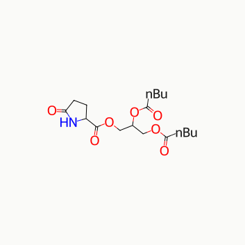 CCCCC(=O)OCC(COC(=O)C1CCC(=O)N1)OC(=O)CCCC